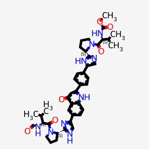 COC(=O)N[C@H](C(=O)N1CCC[C@H]1c1ncc(-c2ccc(-c3cc(=O)c4cc(-c5c[nH]c([C@@H]6CCCN6C(=O)[C@@H](NC=O)C(C)C)n5)ccc4[nH]3)cc2)[nH]1)C(C)C